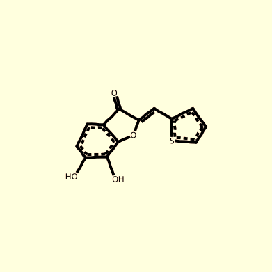 O=C1C(=Cc2cccs2)Oc2c1ccc(O)c2O